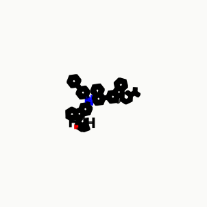 CC(C)C1CC[C@H](C)[C@]2(C1)c1ccccc1-c1cc(-c3ccc(N(c4ccc(-c5ccccc5)cc4)c4ccc5c(c4)-c4ccccc4[C@@]54C[C@H]5CC6C[C@@H]4[C@@]65C)c4ccccc34)ccc12